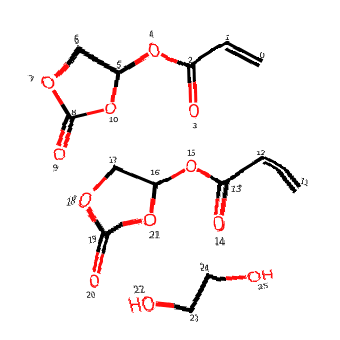 C=CC(=O)OC1COC(=O)O1.C=CC(=O)OC1COC(=O)O1.OCCO